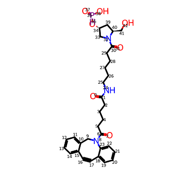 O=C(CCCCC(=O)N1Cc2ccccc2C#Cc2ccccc21)NCCCCCC(=O)N1C[C@H](O[PH](=O)O)C[C@H]1CO